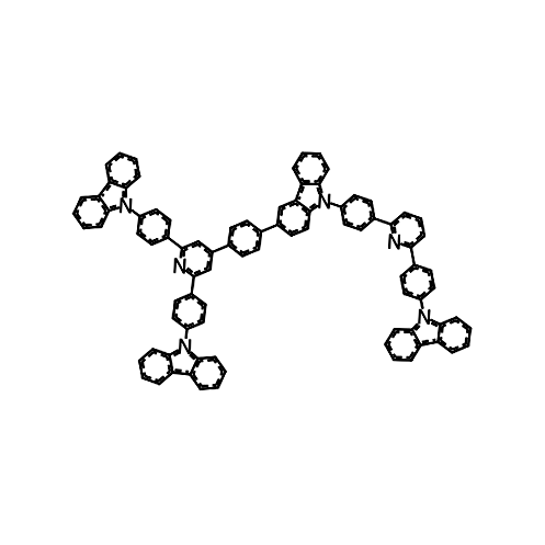 c1cc(-c2ccc(-n3c4ccccc4c4ccccc43)cc2)nc(-c2ccc(-n3c4ccccc4c4cc(-c5ccc(-c6cc(-c7ccc(-n8c9ccccc9c9ccccc98)cc7)nc(-c7ccc(-n8c9ccccc9c9ccccc98)cc7)c6)cc5)ccc43)cc2)c1